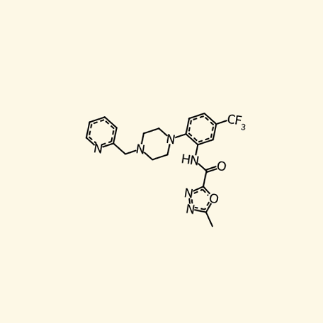 Cc1nnc(C(=O)Nc2cc(C(F)(F)F)ccc2N2CCN(Cc3ccccn3)CC2)o1